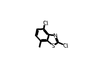 Cc1ccc(Cl)c2nc(Cl)sc12